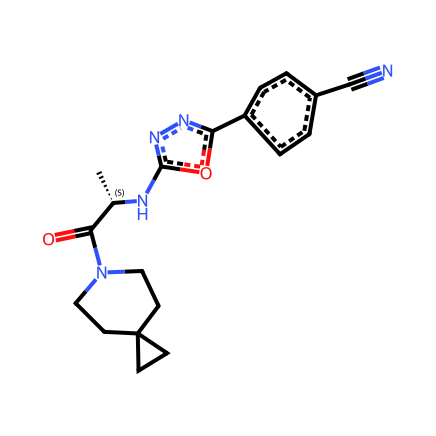 C[C@H](Nc1nnc(-c2ccc(C#N)cc2)o1)C(=O)N1CCC2(CC1)CC2